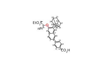 CCCC(Oc1cc2ccc(-c3ccc(C(=O)O)cc3)cc2cc1C12CC3CC(CC(C3)C1)C2)C(=O)OCC